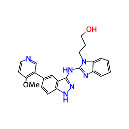 COc1ccncc1-c1ccc2[nH]nc(Nc3nc4ccccc4n3CCCO)c2c1